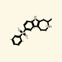 CC1Cc2[nH]c3ccc(S(=O)(=O)c4ccccc4)cc3c2CCN1